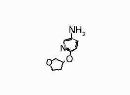 Nc1ccc(O[C@@H]2CCOC2)nc1